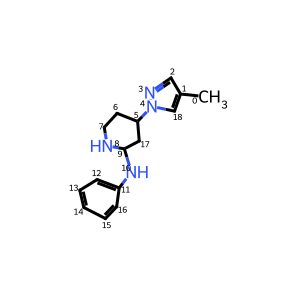 Cc1cnn(C2CCNC(Nc3ccccc3)C2)c1